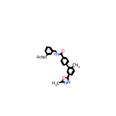 CC(=O)Nc1cccc(CNC(=O)c2ccc(-c3cc(-c4nnc(C)o4)ccc3C)cc2)c1